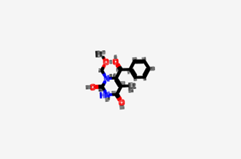 CCOCn1c(C(=O)c2ccccc2)c(CC)c(=O)[nH]c1=O